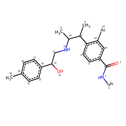 CCCNC(=O)c1ccc(C(C)C(C)NCC(O)c2ccc(C)cc2)c(C(C)=O)c1